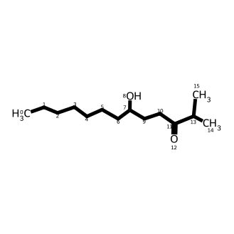 CCCCCCCC(O)CCC(=O)C(C)C